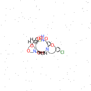 C[C@@H]1[C@@H](C)CCC[C@](O)(CN2CCOCCOCC2)[C@@H]2CC[C@H]2CN2CCCCc3cc(Cl)ccc3COc3ccc(cc32)C(=O)NS1(=O)=O